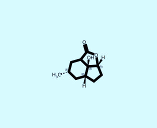 C[C@@H]1CC2C(=O)O[C@@H]3CC[C@H](C1)[C@]23O